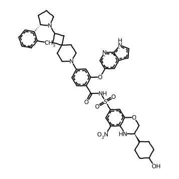 Cc1ccccc1[C@@H]1CCCN1C1CC2(CCN(c3ccc(C(=O)NS(=O)(=O)c4cc5c(c([N+](=O)[O-])c4)N[C@H](C4CCC(O)CC4)CO5)c(Oc4cnc5[nH]ccc5c4)c3)CC2)C1